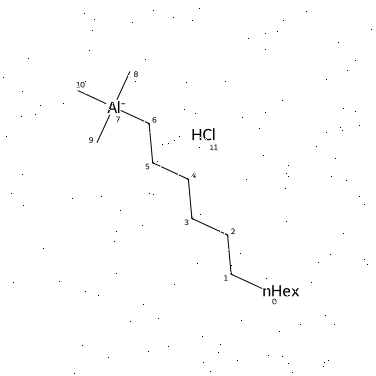 CCCCCCCCCCC[CH2][Al-]([CH3])([CH3])[CH3].Cl